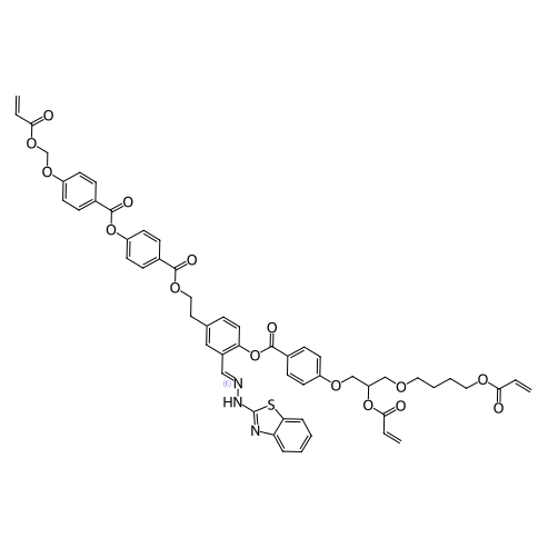 C=CC(=O)OCCCCOCC(COc1ccc(C(=O)Oc2ccc(CCOC(=O)c3ccc(OC(=O)c4ccc(OCOC(=O)C=C)cc4)cc3)cc2/C=N/Nc2nc3ccccc3s2)cc1)OC(=O)C=C